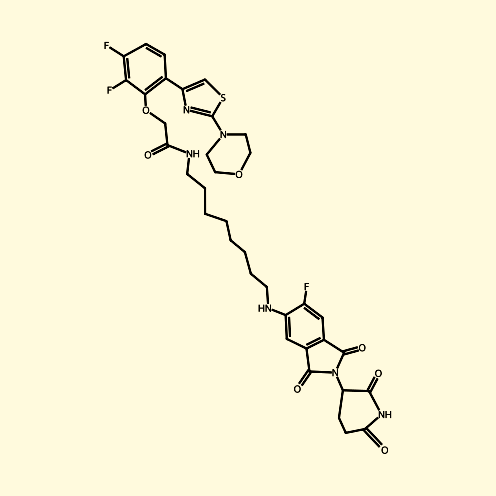 O=C(COc1c(-c2csc(N3CCOCC3)n2)ccc(F)c1F)NCCCCCCCCNc1cc2c(cc1F)C(=O)N(C1CCC(=O)NC1=O)C2=O